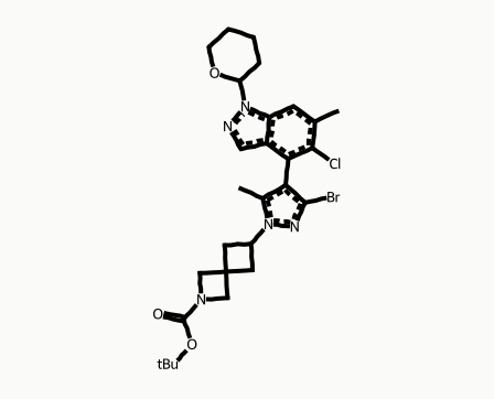 Cc1cc2c(cnn2C2CCCCO2)c(-c2c(Br)nn(C3CC4(C3)CN(C(=O)OC(C)(C)C)C4)c2C)c1Cl